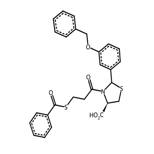 O=C(SCCC(=O)N1C(c2cccc(OCc3ccccc3)c2)SC[C@H]1C(=O)O)c1ccccc1